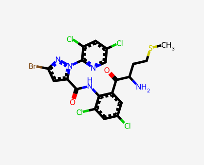 CSCCC(N)C(=O)c1cc(Cl)cc(Cl)c1NC(=O)c1cc(Br)nn1-c1ncc(Cl)cc1Cl